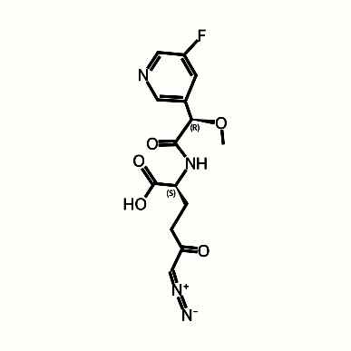 CO[C@@H](C(=O)N[C@@H](CCC(=O)C=[N+]=[N-])C(=O)O)c1cncc(F)c1